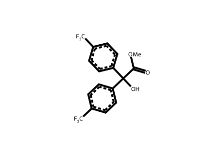 COC(=O)C(O)(c1ccc(C(F)(F)F)cc1)c1ccc(C(F)(F)F)cc1